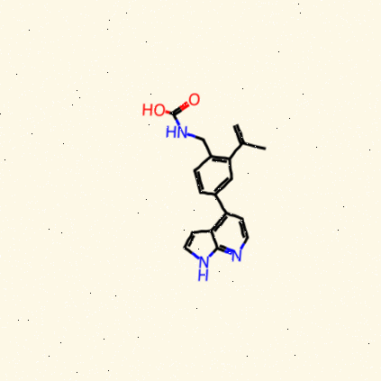 C=C(C)c1cc(-c2ccnc3[nH]ccc23)ccc1CNC(=O)O